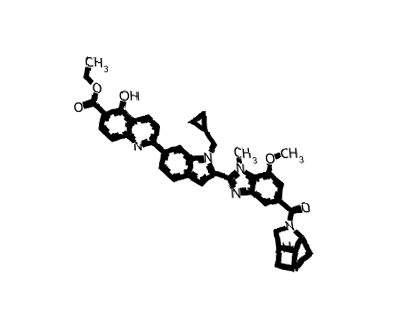 CCOC(=O)c1ccc2nc(-c3ccc4cc(-c5nc6cc(C(=O)N7CC8CC9CC7[C@H]98)cc(OC)c6n5C)n(CC5CC5)c4c3)ccc2c1O